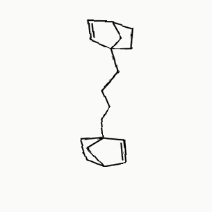 C1=CC2(CCCCC34C=CC(CC3)C4)CCC1C2